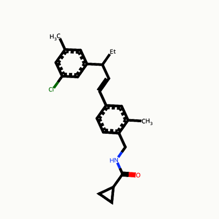 CCC(/C=C/c1ccc(CNC(=O)C2CC2)c(C)c1)c1cc(C)cc(Cl)c1